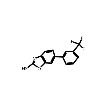 FC(F)(F)c1cccc(-c2ccc3nc(S)oc3c2)c1